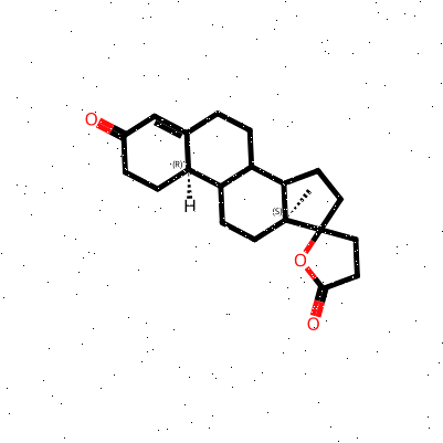 C[C@]12CCC3C(CCC4=CC(=O)CC[C@@H]43)C1CCC21CCC(=O)O1